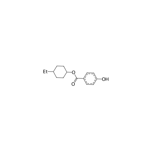 CCC1CCC(OC(=O)c2ccc(O)cc2)CC1